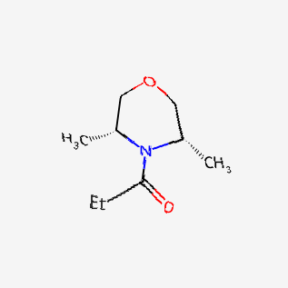 CCC(=O)N1[C@H](C)COC[C@@H]1C